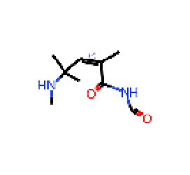 CNC(C)(C)/C=C(/C)C(=O)NC=O